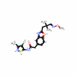 CON=CC(C)(C)Cc1nc2cc(CC(=O)Nc3snc(C)c3Cl)ccc2o1